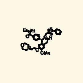 CCN(CC)C(=O)c1ccc([C@H]2c3cc(OCCN4CCOCC4)c(OC)cc3CCN2Cc2cnc(-c3ccccc3)[nH]2)cc1